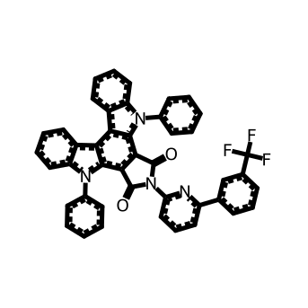 O=C1c2c(c3c(c4ccccc4n3-c3ccccc3)c3c4ccccc4n(-c4ccccc4)c23)C(=O)N1c1cccc(-c2cccc(C(F)(F)F)c2)n1